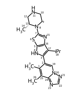 Cc1c(-c2[nH]c3sc(N4CCNC[C@H]4C)nc3c2C(C)C)cn2ncnc2c1C